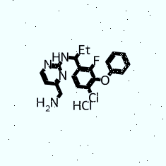 CCC(Nc1nccc(CN)n1)c1ccc(Cl)c(Oc2ccccc2)c1F.Cl